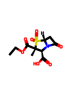 CCOC(=O)[C@@]1(C)[C@H](C(=O)O)N2C(=O)C[C@H]2S1(=O)=O